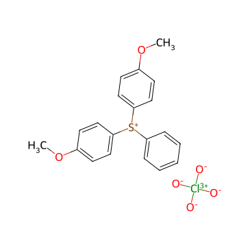 COc1ccc([S+](c2ccccc2)c2ccc(OC)cc2)cc1.[O-][Cl+3]([O-])([O-])[O-]